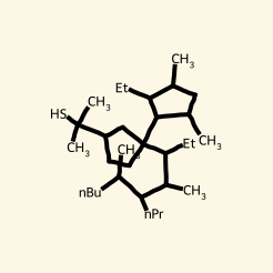 CCCCC(C)C(CCC)C(C)C(CC)C1(C2C(C)CC(C)C2CC)CCC(C(C)(C)S)C1